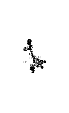 Cc1c(C)c(S(=O)(=O)NC(=N)NCCC[C@H](NC(=O)CCC(=O)OCOc2cc(N3CCOCC3)[o+]c3c(-c4ccc5c(c4)OCCO5)csc23)C(=O)NCC(=O)N[C@@H](CC(=O)OC(C)(C)C)C(=O)N[C@@H](COC(C)(C)C)C(=O)OC(C)(C)C)c(C)c2c1OC(C)(C)C2.[Cl-]